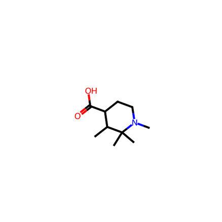 CC1C(C(=O)O)CCN(C)C1(C)C